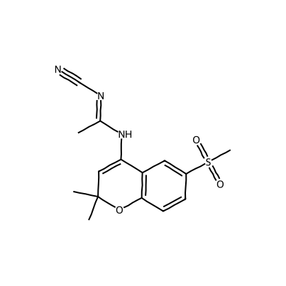 C/C(=N\C#N)NC1=CC(C)(C)Oc2ccc(S(C)(=O)=O)cc21